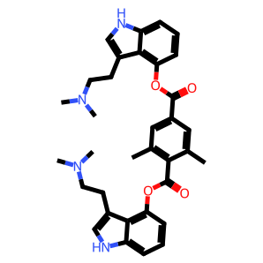 Cc1cc(C(=O)Oc2cccc3[nH]cc(CCN(C)C)c23)cc(C)c1C(=O)Oc1cccc2[nH]cc(CCN(C)C)c12